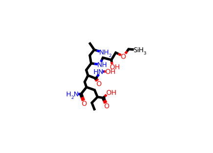 CCC(CC(CC(CC(CC(C)N)NCC(O)COC[SiH3])C(=O)NO)C(N)=O)C(=O)O